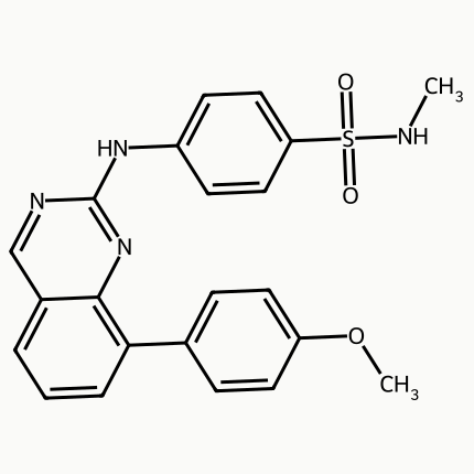 CNS(=O)(=O)c1ccc(Nc2ncc3cccc(-c4ccc(OC)cc4)c3n2)cc1